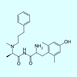 Cc1cc(O)cc(C)c1CC(N)C(=O)NC(=O)[C@@H](C)N(C)CCCc1ccccc1